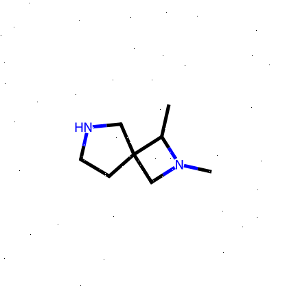 CC1N(C)CC12CCNC2